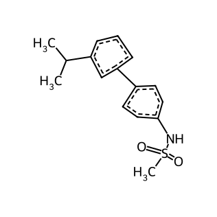 CC(C)c1cccc(-c2ccc(NS(C)(=O)=O)cc2)c1